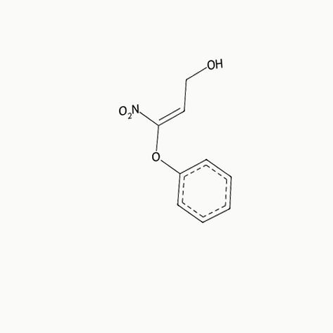 O=[N+]([O-])C(=CCO)Oc1ccccc1